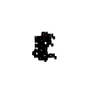 CC(=O)O[C@@H]1C[C@@]23COC[C@](C)(C1O)[C@@H]2CC[C@H]1C3=CC(=O)[C@@]2(C)[C@H](C(=O)O)[C@@](C)([C@H](C)C(C)C)CC[C@]12C